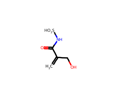 C=C(CO)C(=O)NS(=O)(=O)O